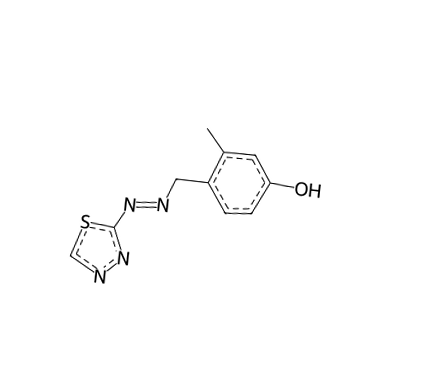 Cc1cc(O)ccc1CN=Nc1nncs1